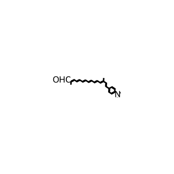 CC(C=O)=CC=CC=CC=CC=CC=C(C)C=Cc1ccc(N(C)C)cc1